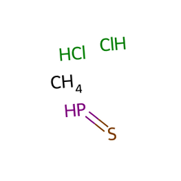 C.Cl.Cl.P=S